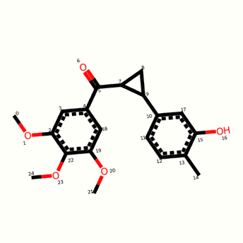 COc1cc(C(=O)C2CC2c2ccc(C)c(O)c2)cc(OC)c1OC